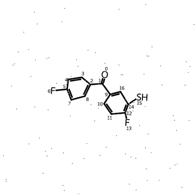 O=C(c1ccc(F)cc1)c1ccc(F)c(S)c1